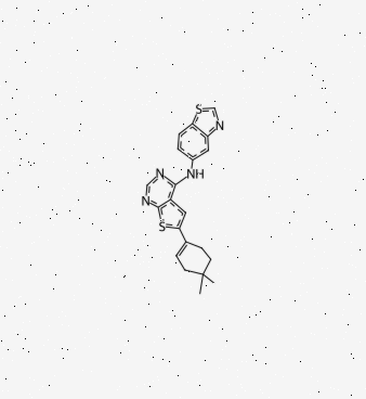 CC1(C)CC=C(c2cc3c(Nc4ccc5scnc5c4)ncnc3s2)CC1